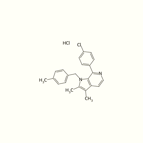 Cc1ccc(Cn2c(C)c(C)c3ccnc(-c4ccc(Cl)cc4)c32)cc1.Cl